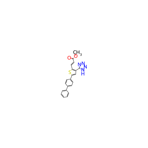 COC(=O)C=Cc1sc(-c2ccc(-c3ccccc3)cc2)cc1-c1nnn[nH]1